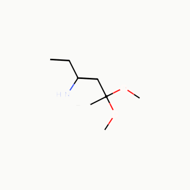 CCC(N)CC([SiH3])(OC)OC